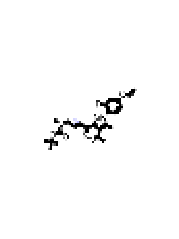 CCOc1ccc(-n2nc3c(/C=C/CN(C)C(=O)OC(C)(C)C)nnc(C)c3c2C)c(F)c1